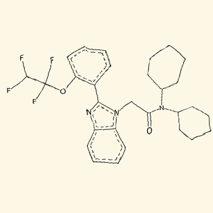 O=C(Cn1c(-c2ccccc2OC(F)(F)C(F)F)nc2ccccc21)N(C1CCCCC1)C1CCCCC1